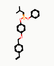 C=Cc1ccc(COc2ccc(O[PH](=CC(C)C)Oc3ccccc3)cc2)cc1